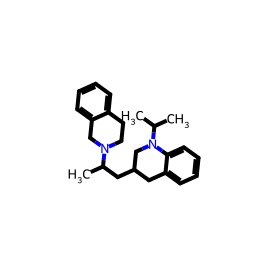 CC(CC1Cc2ccccc2N(C(C)C)C1)N1CCc2ccccc2C1